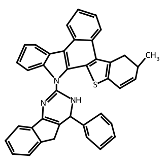 CC1C=Cc2sc3c(c2C1)c1ccccc1c1c2ccccc2n(C2=NC4=C(Cc5ccccc54)C(c4ccccc4)N2)c31